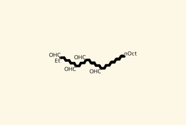 CCCCCCCCC=CC=CC=CCCCC(C=O)CCC=CCC(C=O)CCCC(C=O)CCCCCC(C=O)CC